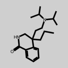 CCCC1(CCN(C(C)C)C(C)C)CNC(=O)c2ccccc21